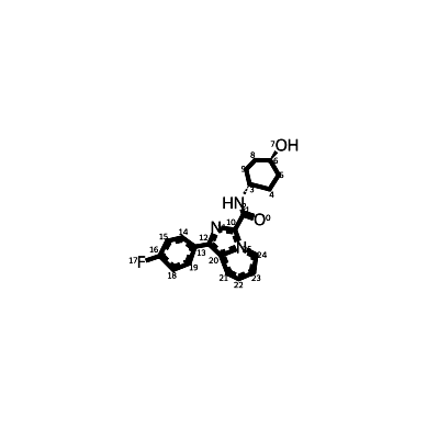 O=C(N[C@H]1CC[C@H](O)CC1)c1nc(-c2ccc(F)cc2)c2ccccn12